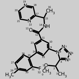 COC(C)c1nnnn1-c1cc(C(=O)NC(C)c2cnccn2)cc(-c2ccc(C)cc2F)c1